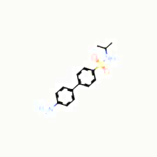 CC(C)NS(=O)(=O)c1ccc(-c2ccc(N)cc2)cc1